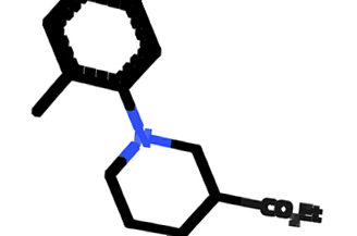 CCOC(=O)C1CCCN(c2ccccc2C)C1